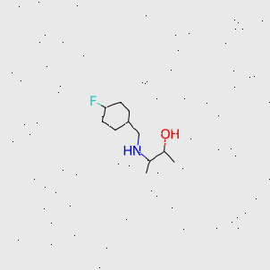 CC(O)C(C)NCC1CCC(F)CC1